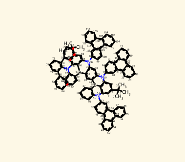 CC(C)(C)c1cc2c3c(c1)N(c1ccc4c5ccccc5c5ccccc5c4c1)c1cc4c(cc1B3c1ccccc1N2c1ccc2c3ccccc3c3ccccc3c2c1)B1c2ccccc2N(c2c(-c3ccccc3)cccc2-c2ccccc2)c2cc(C(C)(C)C)cc(c21)N4c1ccc2c3ccccc3c3ccccc3c2c1